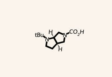 CC(C)(C)N1CC[C@@H]2CN(C(=O)O)C[C@@H]21